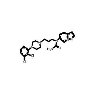 NC(=O)N(CCCN1CCN(c2cccc(Cl)c2Cl)CC1)c1ccc2ccnn2c1